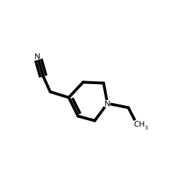 CCN1CC=C(CC#N)CC1